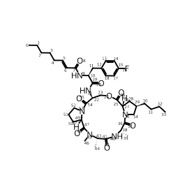 CCCCC/C=C/C(=O)N[C@@H](Cc1ccc(F)cc1)C(=O)N[C@H]1COC(=O)[C@@H]2C[C@@H](CCCC)CN2C(=O)[C@H](C)NC(=O)[C@H](C)N(C)C(=O)[C@@H]2CCCN2C1=O